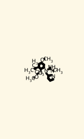 CN=C(N)N(Cc1cccnc1)c1cc(OC)cc(C(C)(C)C)c1OCOC